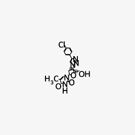 Cc1cn(C2C[C@H](n3cc(-c4ccc(Cl)cc4)nn3)[C@@H](CO)O2)c(=O)[nH]c1=O